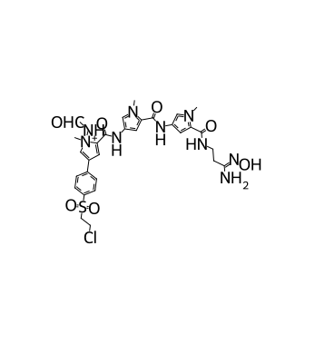 Cn1cc(NC(=O)c2cc(NC(=O)C3=CC(c4ccc(S(=O)(=O)CCCl)cc4)=C[N+]3(C)NC=O)cn2C)cc1C(=O)NCCC(N)=NO